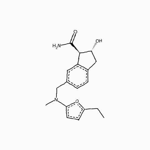 CCc1ccc(N(C)Cc2ccc3c(c2)[C@@H](C(N)=O)[C@H](O)C3)o1